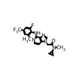 Cc1cc(C(F)(F)F)cc(F)c1Nc1nccc2c1ncn2CC(=O)N(C)C1CC1